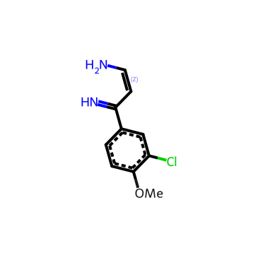 COc1ccc(C(=N)/C=C\N)cc1Cl